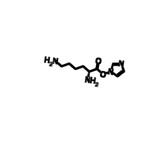 NCCCC[C@H](N)C(=O)On1ccnc1